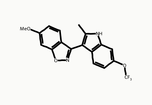 COc1ccc2c(-c3c(C)[nH]c4cc(OC(F)(F)F)ccc34)noc2c1